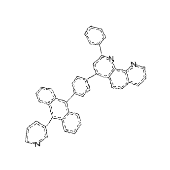 c1ccc(-c2cc(-c3ccc(-c4c5ccccc5c(-c5cccnc5)c5ccccc45)cc3)c3ccc4cccnc4c3n2)cc1